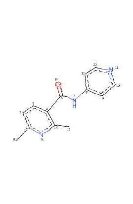 Cc1ccc(C(=O)Nc2ccncc2)c(C)n1